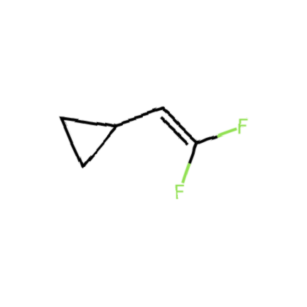 FC(F)=CC1CC1